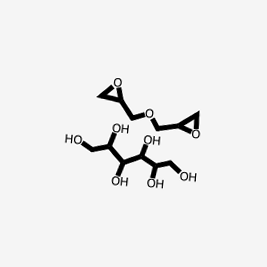 C(OCC1CO1)C1CO1.OCC(O)C(O)C(O)C(O)CO